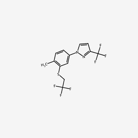 Cc1ccc(-n2ccc(C(F)(F)F)n2)cc1SCC(F)(F)F